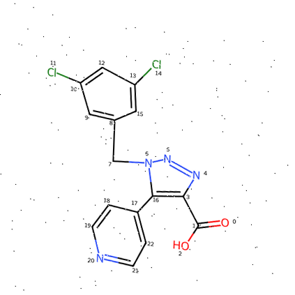 O=C(O)c1nnn(Cc2cc(Cl)cc(Cl)c2)c1-c1ccncc1